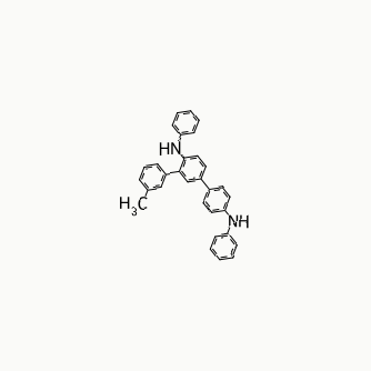 Cc1cccc(-c2cc(-c3ccc(Nc4ccccc4)cc3)ccc2Nc2ccccc2)c1